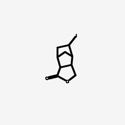 O=C1OCC2C3CC(CC3I)C12